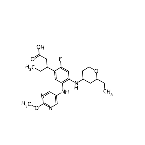 CCC1CC(Nc2cc(F)c(C(CC)CC(=O)O)cc2Nc2cnc(OC)nc2)CCO1